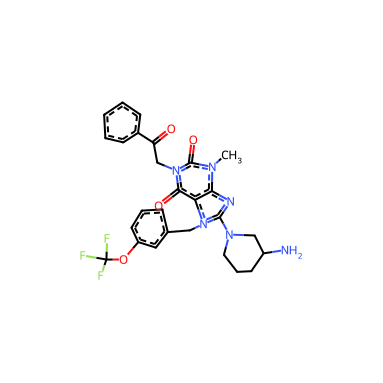 Cn1c(=O)n(CC(=O)c2ccccc2)c(=O)c2c1nc(N1CCCC(N)C1)n2Cc1cccc(OC(F)(F)F)c1